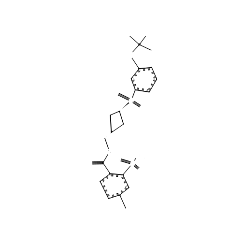 CS(=O)(=O)c1cc(Cl)ccc1C(=O)NC[C@H]1C[C@H](S(=O)(=O)c2cccc(OC(F)(F)F)c2)C1